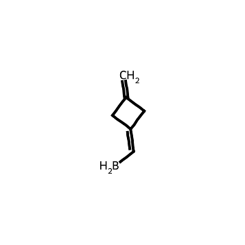 BC=C1CC(=C)C1